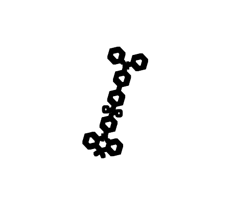 CC1(C)c2ccccc2N(c2ccc(S(=O)(=O)c3ccc(-c4ccc(N(c5ccccc5)c5ccccc5)cc4)cc3)cc2)c2ccccc21